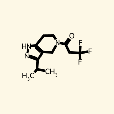 CC(C)c1n[nH]c2c1CN(C(=O)CC(F)(F)F)CC2